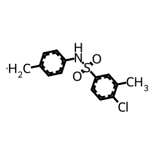 [CH2]c1ccc(NS(=O)(=O)c2ccc(Cl)c(C)c2)cc1